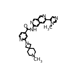 CN1CCC2(CC1)CN(c1cc(C(=O)Nc3cc4cc(-c5cncn5C)ncc4cn3)ccn1)C2